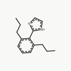 CCCc1cccc(CCC)c1-c1ncc[nH]1